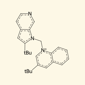 CC(C)(C)c1cc2ccccc2[n+](Cn2c(C(C)(C)C)cc3ccncc32)c1